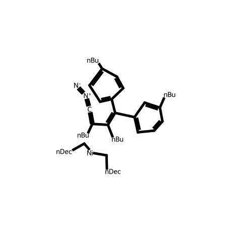 CCCCC(=C=[N+]=[N-])C(CCCC)=C(c1ccc(CCCC)cc1)c1cccc(CCCC)c1.CCCCCCCCCC[CH2][Ni][CH2]CCCCCCCCCC